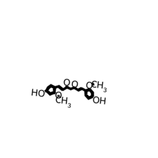 COc1cc(O)ccc1/C=C/C(=O)CC(=O)/C=C/c1ccc(O)cc1OC